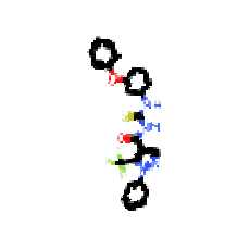 O=C(NC(=S)Nc1cccc(Oc2ccccc2)c1)c1cnn(-c2ccccc2)c1C(F)(F)F